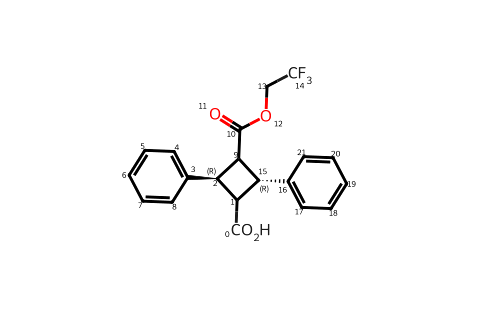 O=C(O)C1[C@@H](c2ccccc2)C(C(=O)OCC(F)(F)F)[C@@H]1c1ccccc1